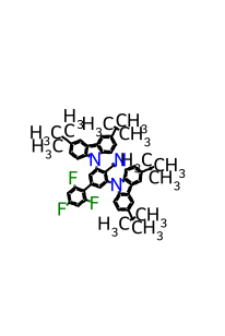 CC(C)(C)c1ccc2c(c1)c1cc(C(C)(C)C)ccc1n2-c1cc(-c2c(F)cc(F)cc2F)cc(-n2c3ccc(C(C)(C)C)cc3c3cc(C(C)(C)C)ccc32)c1C#N